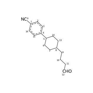 N#Cc1ccc(C2CCC(CCCC=O)CC2)cc1